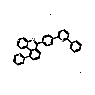 c1ccc(-c2cccc(-c3ccc(-c4nc5ccccc5c5c(-c6ccccc6)cccc45)cc3)n2)cc1